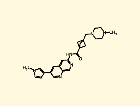 CN1CCN(CC23CC(C(=O)Nc4cc5cc(-c6cnn(C)c6)cnc5cn4)(C2)C3)CC1